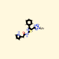 CCCn1nnc(-c2sc(NC(=O)Cc3ccc[nH]3)nc2-c2ccccc2)n1